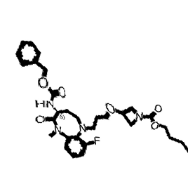 CCCCOC(=O)N1CC(OCCCN2CC[C@H](NC(=O)OCc3ccccc3)C(=O)N(C)c3cccc(F)c32)C1